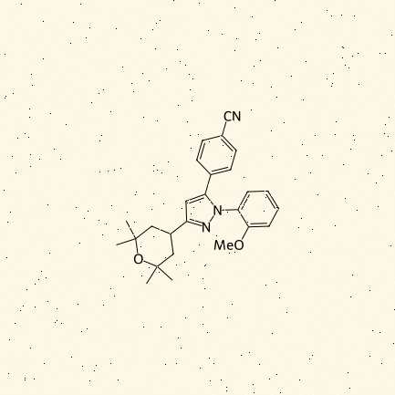 COc1ccccc1-n1nc(C2CC(C)(C)OC(C)(C)C2)cc1-c1ccc(C#N)cc1